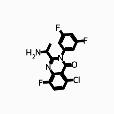 CC(N)c1nc2c(F)ccc(Cl)c2c(=O)n1-c1cc(F)cc(F)c1